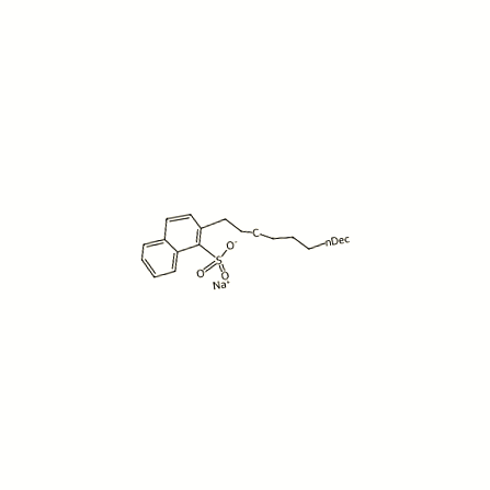 CCCCCCCCCCCCCCCCc1ccc2ccccc2c1S(=O)(=O)[O-].[Na+]